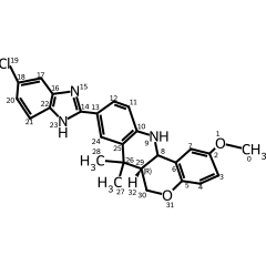 COc1ccc2c(c1)C1Nc3ccc(-c4nc5cc(Cl)ccc5[nH]4)cc3C(C)(C)[C@H]1CO2